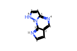 c1cc2cnc3cc[nH]n3c-2n1